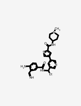 CCC(NC(=O)c1ccc(N)c(C=N)c1)c1cncc(-c2csc(C(=O)NC3CCN(C)CC3)c2)c1